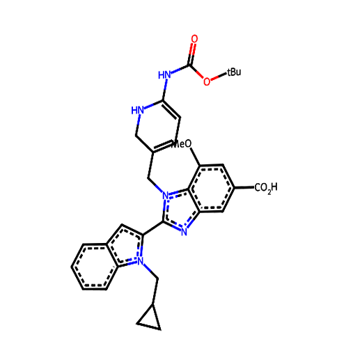 COc1cc(C(=O)O)cc2nc(-c3cc4ccccc4n3CC3CC3)n(CC3=CC=C(NC(=O)OC(C)(C)C)NC3)c12